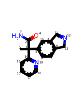 CC(C(N)=O)(c1ccc2c(c1)C=NC2)c1ccccn1